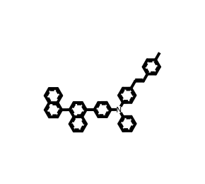 Cc1ccc(C=Cc2ccc(N(c3ccccc3)c3ccc(-c4ccc(-c5cccc6ccccc56)c5ccccc45)cc3)cc2)cc1